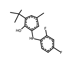 Cc1cc(Pc2ccc(F)cc2F)c(O)c(C(C)(C)C)c1